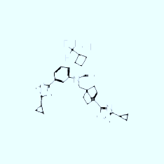 O=C([C@H]1C[C@](O)(C(F)(F)F)C1)N(CC12CCC(c3nc(C4CC4)no3)=C(C1)C2)c1cccc(-c2nc(C3CC3)no2)c1